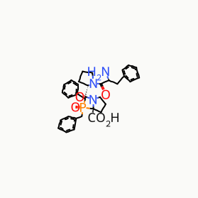 N[C@@H](Cc1ccccc1)C(=O)N1CCC[C@H]1C(=O)N1CCC[C@]1(C(=O)O)P(=O)(Cc1ccccc1)Cc1ccccc1